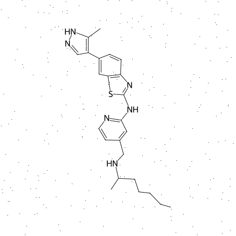 CCCCCC(C)NCc1ccnc(Nc2nc3ccc(-c4cn[nH]c4C)cc3s2)c1